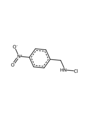 O=[N+]([O-])c1ccc(CNCl)cc1